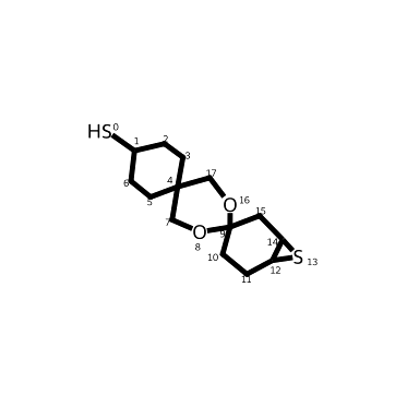 SC1CCC2(CC1)COC1(CCC3SC3C1)OC2